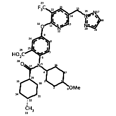 COC1CCC(N(c2ccc(Oc3ncc(Cn4nccn4)cc3C(F)(F)F)cc2C(=O)O)C(=O)[C@H]2CC[C@H](C)CC2)CC1